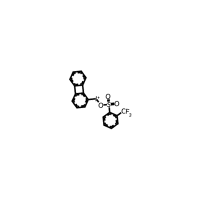 O=S(=O)(O[I+]c1cccc2c1-c1ccccc1-2)c1ccccc1C(F)(F)F